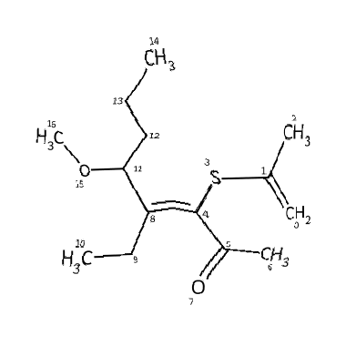 C=C(C)S/C(C(C)=O)=C(/CC)C(CCC)OC